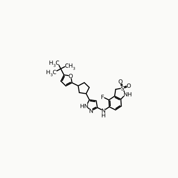 CC(C)(C)c1ccc(C2CCC(c3cc(Nc4ccc5c(c4F)CS(=O)(=O)N5)n[nH]3)C2)o1